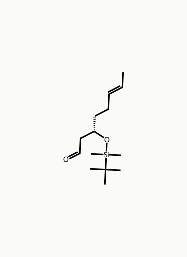 C/C=C/CC[C@@H](CC=O)O[Si](C)(C)C(C)(C)C